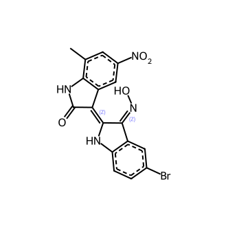 Cc1cc([N+](=O)[O-])cc2c1NC(=O)/C2=C1\Nc2ccc(Br)cc2\C1=N\O